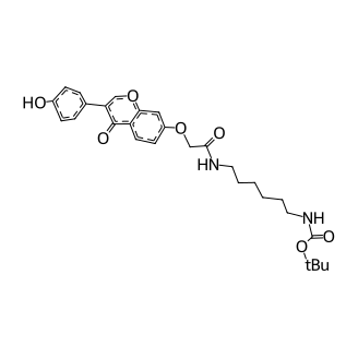 CC(C)(C)OC(=O)NCCCCCCNC(=O)COc1ccc2c(=O)c(-c3ccc(O)cc3)coc2c1